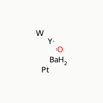 [BaH2].[O].[Pt].[W].[Y]